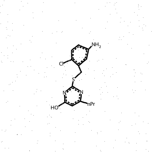 CCCc1cc(O)nc(SCc2cc(N)ccc2Cl)n1